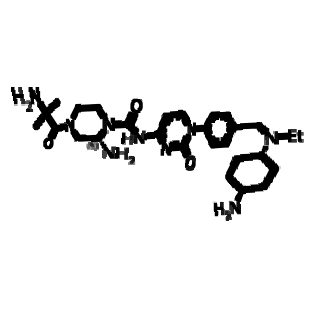 CCN(Cc1ccc(-n2ccc(NC(=O)N3CCN(C(=O)C(C)(C)N)C[C@H]3N)nc2=O)cc1)[C@H]1CC[C@H](N)CC1